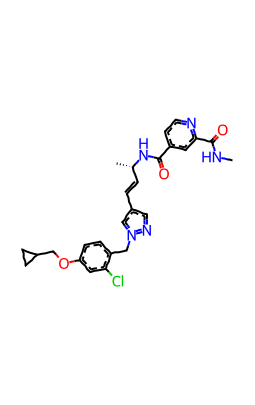 CNC(=O)c1cc(C(=O)N[C@@H](C)/C=C/c2cnn(Cc3ccc(OCC4CC4)cc3Cl)c2)ccn1